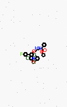 O=C(OC1CCCC1)[C@@H](NCCCOc1cc(-c2ccc(F)cc2Cl)c2ccc(=O)n(-c3c(Cl)cccc3Cl)c2c1)c1ccccc1